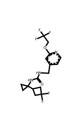 O=C(NCc1ccnc(OCC(F)(F)F)c1)NC1(C2CC(F)(F)C2)CC1